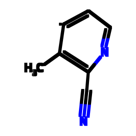 Cc1[c]ccnc1C#N